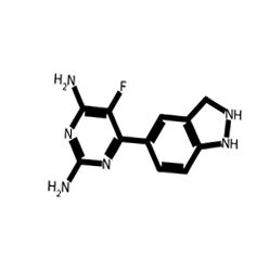 Nc1nc(N)c(F)c(-c2ccc3c(c2)CNN3)n1